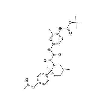 CC(=O)Oc1ccc([C@]2(C)CC[C@H](C)CN2C(=O)C(=O)Nc2cnc(NC(=O)OC(C)(C)C)c(C)c2)cc1